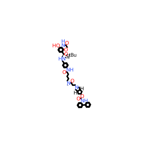 CN(CCCCC(=O)Nc1ccc(CNC[C@H](O[Si](C)(C)C(C)(C)C)c2ccc(O)c3c2OCC(=O)N3)cc1)C(=O)CCN1C[C@H]2C[C@@H](OC(=O)Nc3ccccc3-c3ccccc3)C[C@H]2C1